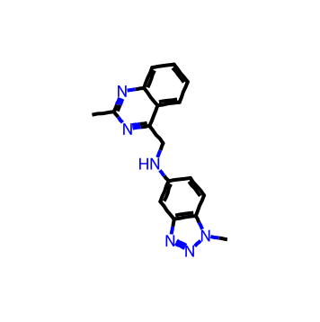 Cc1nc(CNc2ccc3c(c2)nnn3C)c2ccccc2n1